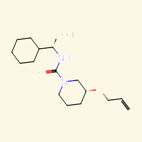 C=CCO[C@H]1CCCN(C(=O)N[C@H](C(=O)O)C2CCCCC2)C1